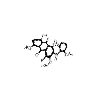 CCCCOc1c(F)c2c(c(F)c1Nc1c(C)cccc1C)C(=O)c1c(O)ccc(O)c1C2=O